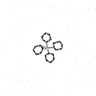 c1cc[c]([69Sn]([c]2ccccc2)([c]2ccccc2)[c]2ccccc2)cc1